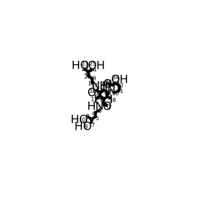 O=C(NCCCC(CO)CO)c1c(I)c(C(=O)NCCCC(CO)CO)c(I)c(N2CCCC(O)C2=O)c1I